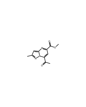 COC(=O)c1cc(C(C)=O)n2nc(C)cc2n1